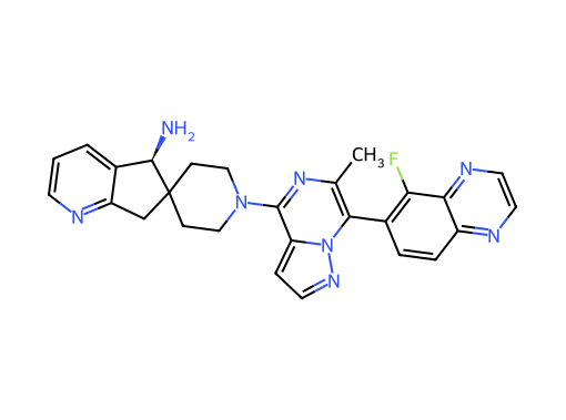 Cc1nc(N2CCC3(CC2)Cc2ncccc2[C@H]3N)c2ccnn2c1-c1ccc2nccnc2c1F